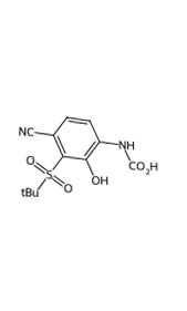 CC(C)(C)S(=O)(=O)c1c(C#N)ccc(NC(=O)O)c1O